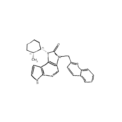 C[C@@H]1CCCC[C@@H]1n1c(=O)n(Cc2ccc3ccccc3n2)c2cnc3[nH]ccc3c21